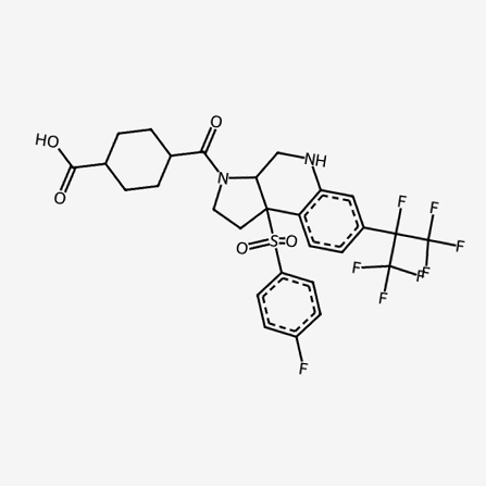 O=C(O)C1CCC(C(=O)N2CCC3(S(=O)(=O)c4ccc(F)cc4)c4ccc(C(F)(C(F)(F)F)C(F)(F)F)cc4NCC23)CC1